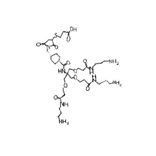 NCCCNC(=O)CCOCC(COCCC(=O)NCCCN)(COCCC(=O)NCCCN)NC(=O)[C@H]1CC[C@H](CN2C(=O)CC(SCCC(=O)O)C2=O)CC1